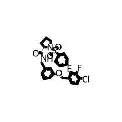 O=C(NCc1cccc(OCc2ccc(Cl)c(F)c2)c1)[C@@H]1CCCN1S(=O)(=O)c1ccc(F)cc1